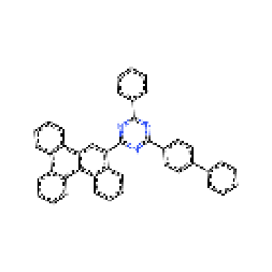 c1ccc(-c2ccc(-c3nc(-c4ccccc4)nc(-c4cc5c6ccccc6c6ccccc6c5c5ccccc45)n3)cc2)cc1